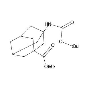 COC(=O)C12CC3CC(CC(NC(=O)OC(C)(C)C)(C3)C1)C2